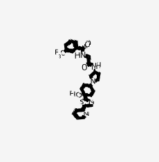 O=C(CNC(=O)c1cccc(C(F)(F)F)c1)N[C@H]1CCN(C2CCC(O)(c3ncc(-c4ccccn4)s3)CC2)C1